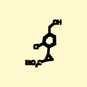 CCOC(=O)C1CC1c1ccc(CO)cc1Cl